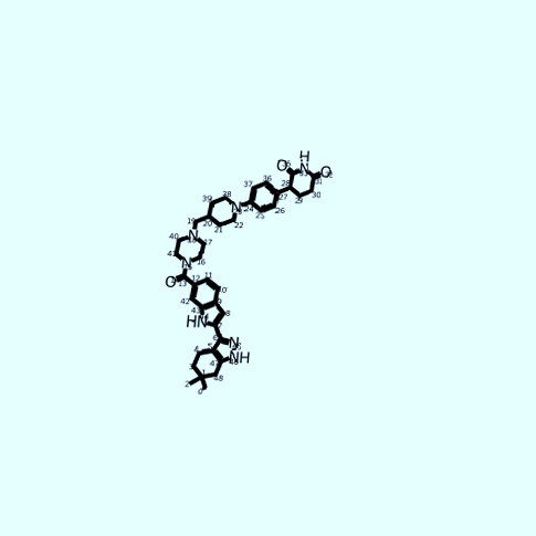 CC1(C)CCc2c(-c3cc4ccc(C(=O)N5CCN(CC6CCN(c7ccc(C8CCC(=O)NC8=O)cc7)CC6)CC5)cc4[nH]3)n[nH]c2C1